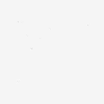 CNc1cc(NC(=O)c2ccc(OC)cc2)nc(NC(=O)c2ccc(OC)cc2)n1